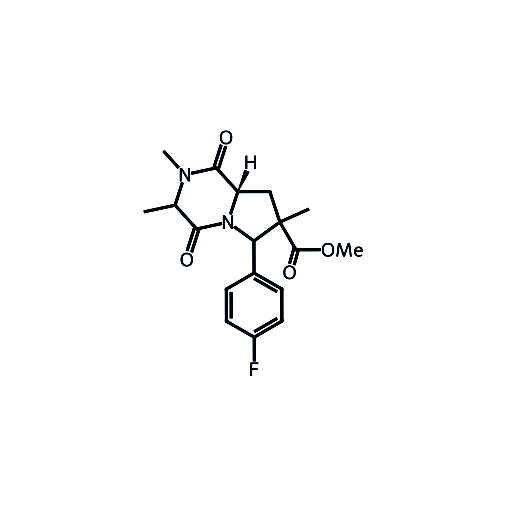 COC(=O)C1(C)C[C@H]2C(=O)N(C)C(C)C(=O)N2C1c1ccc(F)cc1